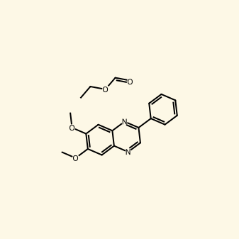 CCOC=O.COc1cc2ncc(-c3ccccc3)nc2cc1OC